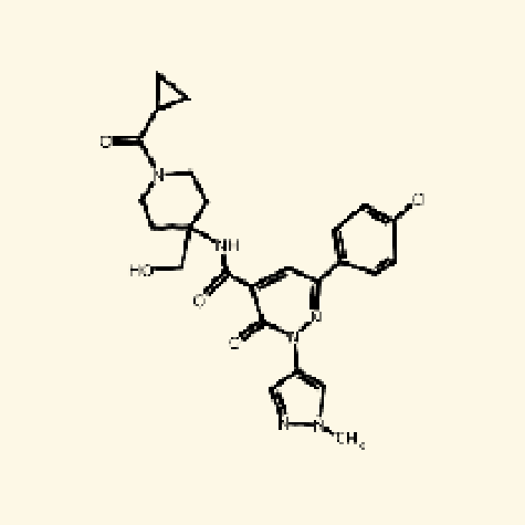 Cn1cc(-n2nc(-c3ccc(Cl)cc3)cc(C(=O)NC3(CO)CCN(C(=O)C4CC4)CC3)c2=O)cn1